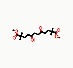 COC(=O)C(C)(C)CCC(O)CCC(O)CCC(C)(C)C(=O)OC